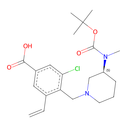 C=Cc1cc(C(=O)O)cc(Cl)c1CN1CCC[C@H](N(C)C(=O)OC(C)(C)C)C1